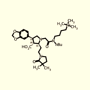 CCCCN(CCCC[N+](C)(C)C)C(=O)CN1C[C@H](c2ccc3c(c2)OCO3)[C@@H](C(=O)O)[C@@H]1CCN1CCC(C)(C)C1=O